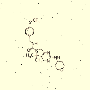 CC1(C)c2cnc(NC3CCOCC3)nc2CN1C(=O)NCc1ccc(SC(F)(F)F)cc1